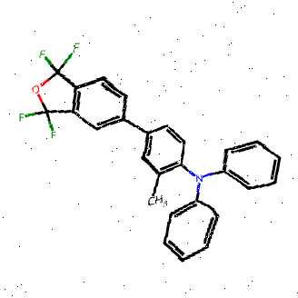 Cc1cc(-c2ccc3c(c2)C(F)(F)OC3(F)F)ccc1N(c1ccccc1)c1ccccc1